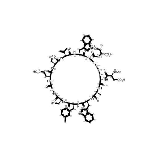 C=C(C)[C@@H]1NC(=O)[C@H](CC(C)C)NC(=O)[C@H](CCC(=O)O)NC(=O)CNC(=O)[C@H](CC(C)C)NC(=O)[C@H](Cc2cccc(C)c2)NC(=O)[C@H](Cc2c[nH]c3ccccc23)NC(=O)[C@H](C)NC(=O)[C@@H](NC(=O)[C@H](CC(=O)O)NC(C)=O)CSSC[C@@H](C(=O)N[C@H](C(=O)O)[C@@H](C)O)NC(=O)[C@H](Cc2c[nH]c3ccccc23)NC1=O